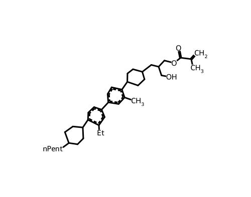 C=C(C)C(=O)OCC(CO)CC1CCC(c2ccc(-c3ccc(C4CCC(CCCCC)CC4)c(CC)c3)cc2C)CC1